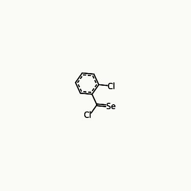 ClC(=[Se])c1ccccc1Cl